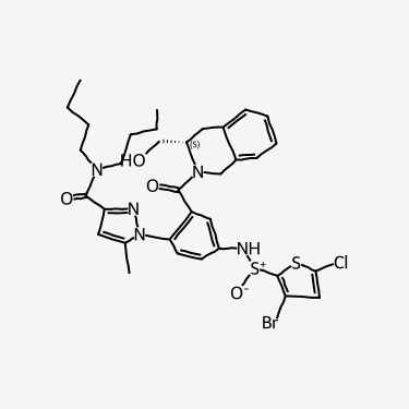 CCCCN(CCCC)C(=O)c1cc(C)n(-c2ccc(N[S+]([O-])c3sc(Cl)cc3Br)cc2C(=O)N2Cc3ccccc3C[C@H]2CO)n1